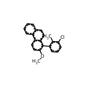 COc1ccc2c(ccc3ccccc32)c1-c1cccc(Cl)c1C